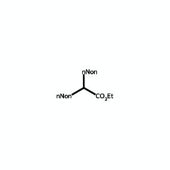 CCCCCCCCCC(CCCCCCCCC)C(=O)OCC